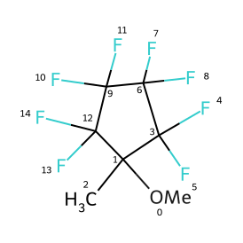 COC1(C)C(F)(F)C(F)(F)C(F)(F)C1(F)F